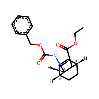 CCOC(=O)C1[C@@H]2C=C[C@@H](CC2)[C@@H]1NC(=O)OCc1ccccc1